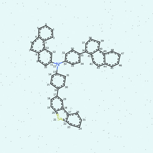 c1ccc2c(c1)ccc1ccc(N(c3ccc(-c4ccc5sc6ccccc6c5c4)cc3)c3ccc(-c4cccc5c4ccc4ccccc45)cc3)cc12